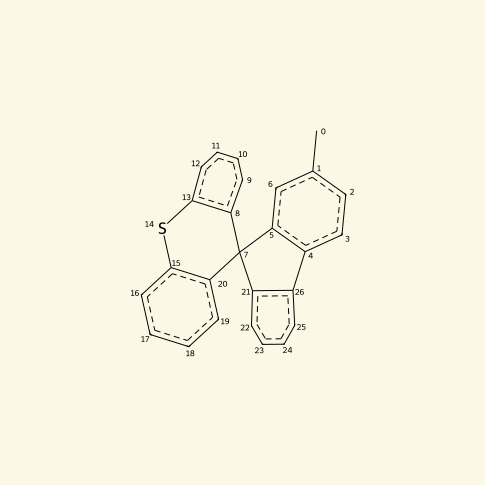 Cc1ccc2c(c1)C1(c3ccccc3Sc3ccccc31)c1ccccc1-2